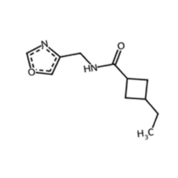 CCC1CC(C(=O)NCc2cocn2)C1